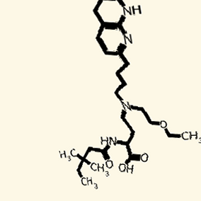 CCOCCN(CCCCc1ccc2c(n1)NCCC2)CCC(NC(=O)CC(C)(C)CC)C(=O)O